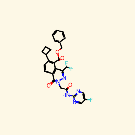 O=C(Cn1nc(C(F)F)c2c(C(=O)OCc3ccccc3)c(C3CCC3)ccc2c1=O)Nc1ncc(F)cn1